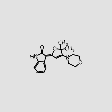 CC1(C)OC(=C2C(=O)Nc3c[c]ccc32)C=C1N1CCOCC1